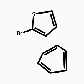 Brc1cccs1.c1ccccc1